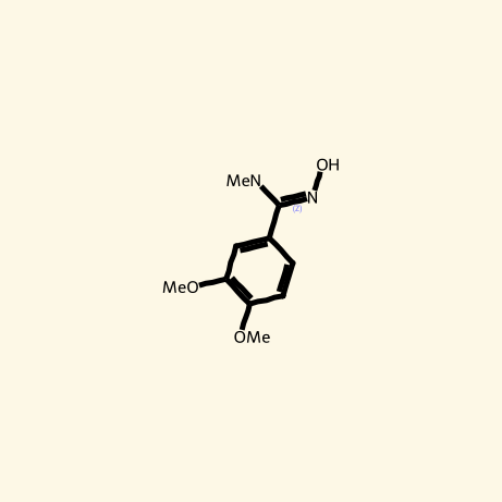 CN/C(=N\O)c1ccc(OC)c(OC)c1